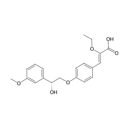 CCO/C(=C\c1ccc(OC[C@H](O)c2cccc(OC)c2)cc1)C(=O)O